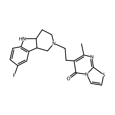 Cc1nc2sccn2c(=O)c1CCN1CCC2Nc3ccc(F)cc3C2C1